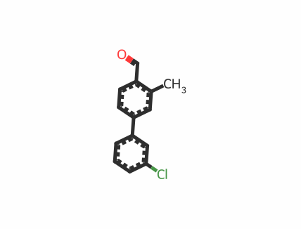 Cc1cc(-c2cccc(Cl)c2)ccc1C=O